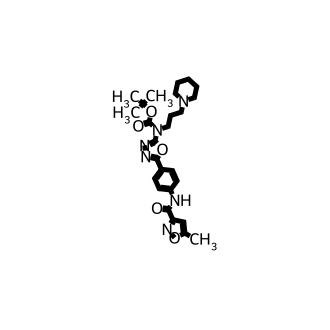 Cc1cc(C(=O)Nc2ccc(-c3nnc(N(CCCN4CCCCC4)C(=O)OC(C)(C)C)o3)cc2)no1